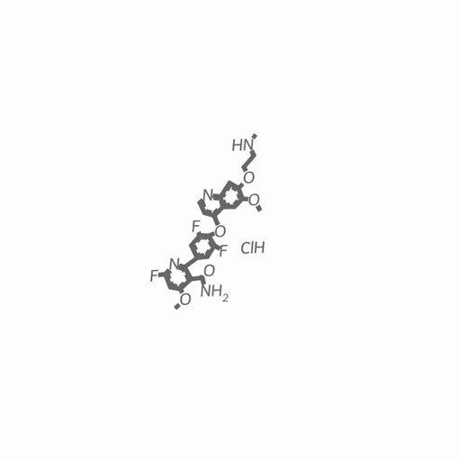 CNCCOc1cc2nccc(Oc3c(F)cc(-c4nc(F)cc(OC)c4C(N)=O)cc3F)c2cc1OC.Cl